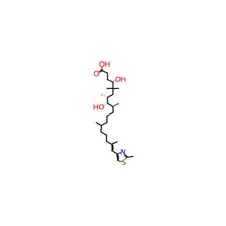 C/C(=C\c1csc(C)n1)CCCC(C)CCC[C@H](C)[C@H](O)[C@H](C)CC(C)(C)[C@@H](O)CCC(=O)O